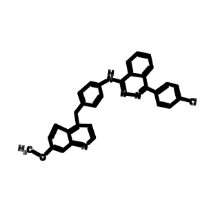 COc1ccc2c(Cc3ccc(Nc4nnc(-c5ccc(Cl)cc5)c5ccccc45)cc3)ccnc2c1